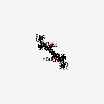 CCCCC(C)CC1(CC(CC)CCCC)c2cc(-c3ccc(/C=C4\SC(=S)N(CC)C4=O)c4nsnc34)ccc2-c2cc3cc4c(cc3cc21)-c1ccc(-c2ccc(/C=C3\SC(=S)N(CC)C3=O)c3nsnc23)cc1C4(CC(C)CC)CC(CC)CCCC